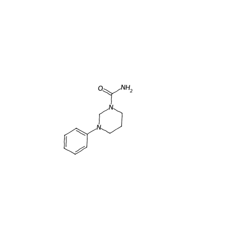 NC(=O)N1CCCN(c2ccccc2)C1